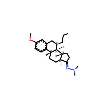 CCC[C@@H]1Cc2cc(OC)ccc2[C@H]2CC[C@]3(C)C(=NN(C)C)CC[C@H]3[C@H]12